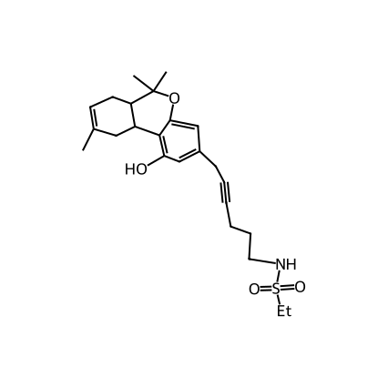 CCS(=O)(=O)NCCCC#CCc1cc(O)c2c(c1)OC(C)(C)C1CC=C(C)CC21